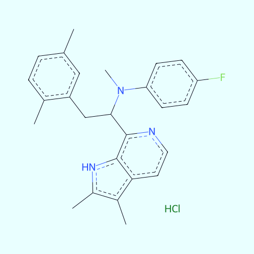 Cc1ccc(C)c(CC(c2nccc3c(C)c(C)[nH]c23)N(C)c2ccc(F)cc2)c1.Cl